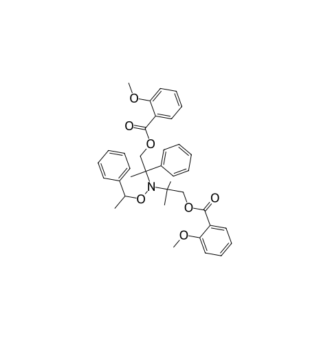 COc1ccccc1C(=O)OCC(C)(C)N(OC(C)c1ccccc1)C(C)(COC(=O)c1ccccc1OC)c1ccccc1